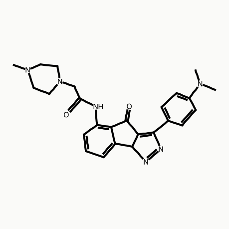 CN1CCN(CC(=O)Nc2cccc3c2C(=O)C2=C(c4ccc(N(C)C)cc4)N=NC23)CC1